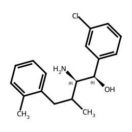 Cc1ccccc1CC(C)[C@@H](N)[C@H](O)c1cccc(Cl)c1